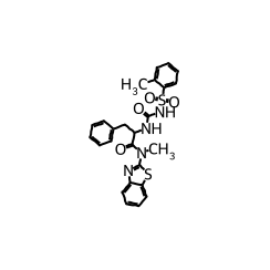 Cc1ccccc1S(=O)(=O)NC(=O)NC(Cc1ccccc1)C(=O)N(C)c1nc2ccccc2s1